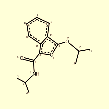 CC(C)NC(=O)c1oc(OC(C)C)c2ccccc12